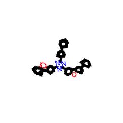 c1ccc(-c2ccc(-c3nc(-c4ccc5c(c4)oc4ccccc45)nc(-c4ccc5oc6ccc(-c7ccccc7)cc6c5c4)n3)cc2)cc1